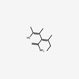 C=C(N)C(=C(/C)CC)/C(C)=C(/C)S